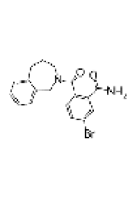 NC(=O)c1cc(Br)ccc1C(=O)N1CCCc2ccccc2C1